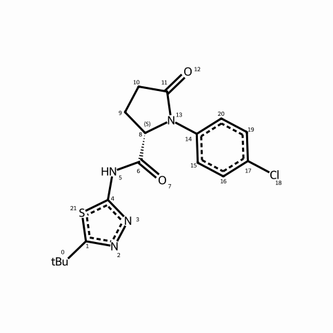 CC(C)(C)c1nnc(NC(=O)[C@@H]2CCC(=O)N2c2ccc(Cl)cc2)s1